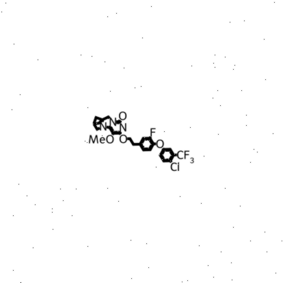 COc1c(OCCc2ccc(Oc3ccc(Cl)c(C(F)(F)F)c3)c(F)c2)nc(=O)n2c1N1CC3CC1(C3)C2